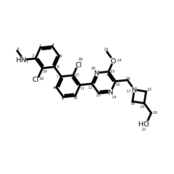 CNc1cccc(-c2cccc(-c3cnc(CN4CC(CO)C4)c(OC)n3)c2Cl)c1Cl